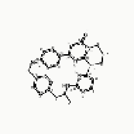 CC(Cc1ccc(CN)cc1)Nc1nccc(N2CCCn3c2nc(-c2ccccc2)cc3=O)n1